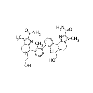 Cc1c(-c2cccc(C3c4nc(C(N)=O)n(C)c4CCN3CCO)c2Cl)cccc1C1c2nc(C(N)=O)n(C)c2CCN1CCO